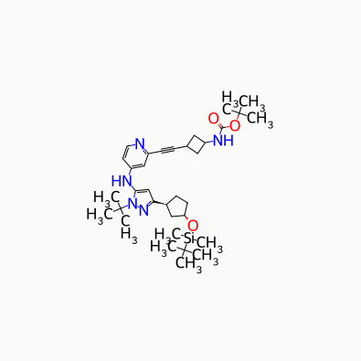 CC(C)(C)OC(=O)NC1CC(C#Cc2cc(Nc3cc([C@H]4CC[C@@H](O[Si](C)(C)C(C)(C)C)C4)nn3C(C)(C)C)ccn2)C1